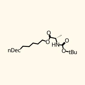 CCCCCCCCCCCCCCCOC(=O)[C@H](C)NC(=O)OC(C)(C)C